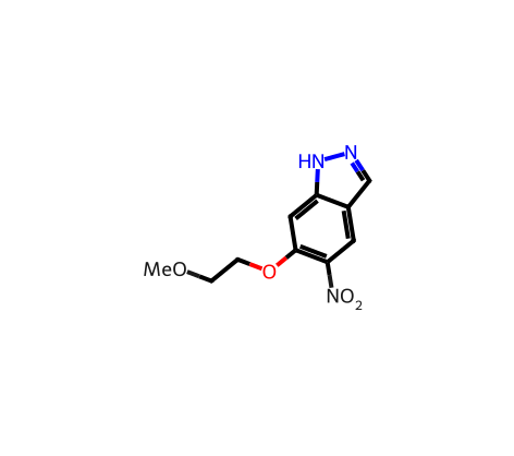 COCCOc1cc2[nH]ncc2cc1[N+](=O)[O-]